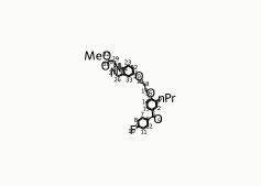 CCCc1cc(C(=O)c2ccc(F)cc2)ccc1OCCCOc1ccc2c(cnn2CC(=O)OC)c1